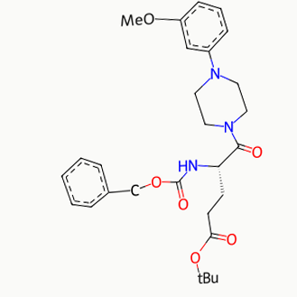 COc1cccc(N2CCN(C(=O)[C@H](CCC(=O)OC(C)(C)C)NC(=O)OCc3ccccc3)CC2)c1